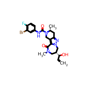 C=CC(O)[C@@H]1CN(C)C(=O)c2c3c(nn2C1)C[C@@H](C)N(C(=O)Nc1ccc(F)c(Br)c1)C3